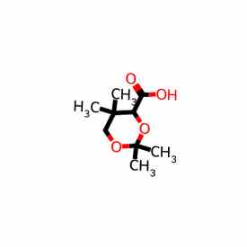 CC1(C)OCC(C)(C)C(C(=O)O)O1